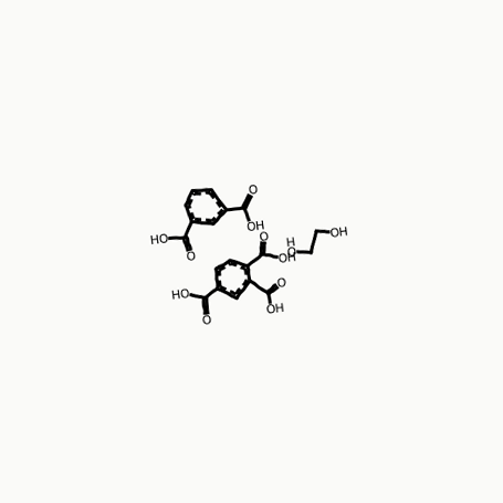 O=C(O)c1ccc(C(=O)O)c(C(=O)O)c1.O=C(O)c1cccc(C(=O)O)c1.OCCO